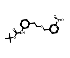 CC(C)(C)OC(=O)Nc1cccc(CCSCc2cccc([N+](=O)[O-])c2)c1